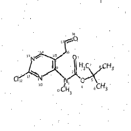 CN(C(=O)OC(C)(C)C)c1nc(Cl)ncc1CC=O